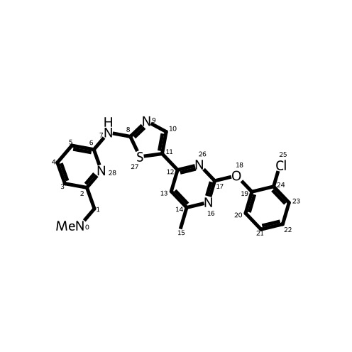 CNCc1cccc(Nc2ncc(-c3cc(C)nc(Oc4ccccc4Cl)n3)s2)n1